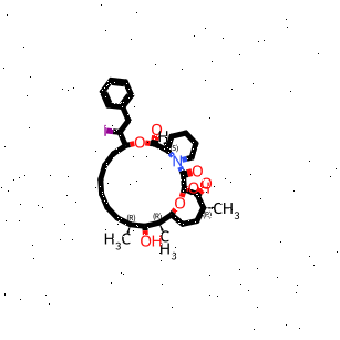 C[C@H]1C2CC[C@@H](C)C(=O)C(O)(O2)C(=O)N2CCCC[C@H]2C(=O)OC(C(I)Cc2ccccc2)CCCCCC[C@@H](C)C1O